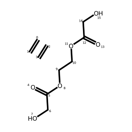 C=C.C=C.O=C(CO)OCCOC(=O)CO